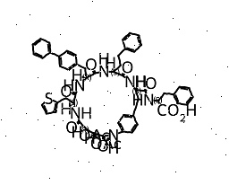 CC(=O)O[C@H]1C(=O)Nc2ccc(cc2)C[C@@H](C(=O)N[C@@H](Cc2ccccc2)C(=O)O)NC(=O)[C@H](CCc2ccccc2)NC(=O)[C@@H](Cc2ccc(-c3ccccc3)cc2)NC(=O)[C@H](Cc2cccs2)NC(=O)[C@@H]1OC(C)=O